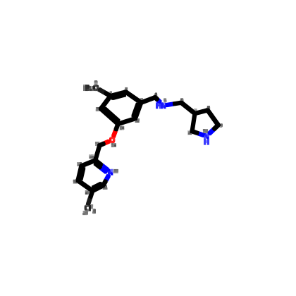 CC(C)COc1cc(CNCC2CCNC2)cc(OCc2ccc(C(F)(F)F)cn2)c1